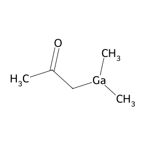 CC(=O)[CH2][Ga]([CH3])[CH3]